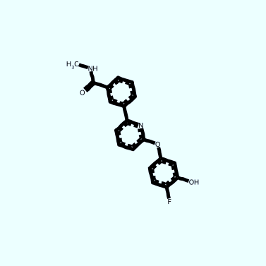 CNC(=O)c1cccc(-c2cccc(Oc3ccc(F)c(O)c3)n2)c1